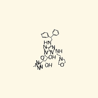 Cn1nnc([C@H]2O[C@@H](n3cnc4c(NCC(c5ccccc5)c5ccccc5)nc(NCCN5CCOCC5)nc43)[C@H](O)[C@@H]2O)n1